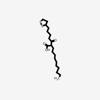 CCCCCCCCCCC(C(=O)O)C(=O)CCCCC1CCSS1